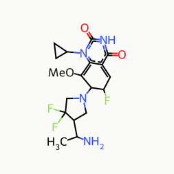 COC1=c2c(c(=O)[nH]c(=O)n2C2CC2)=CC(F)C1N1CC(C(C)N)C(F)(F)C1